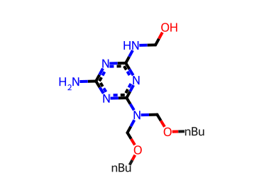 CCCCOCN(COCCCC)c1nc(N)nc(NCO)n1